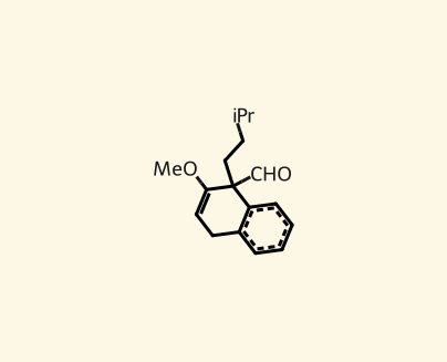 COC1=CCc2ccccc2C1(C=O)CCC(C)C